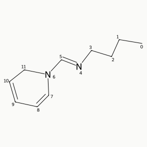 CCCCN=CN1C=CC=CC1